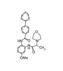 COc1ccc(NC(=O)c2ccc(-c3ccccc3)cc2)c(NC(=O)C(C)N2CCOCC2)c1